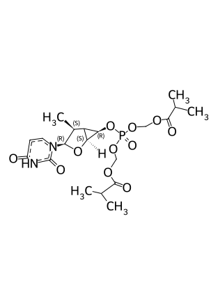 CC(C)C(=O)OCOP(=O)(OCOC(=O)C(C)C)O[C@@H]1C2[C@H](C)[C@H](n3ccc(=O)[nH]c3=O)O[C@@H]21